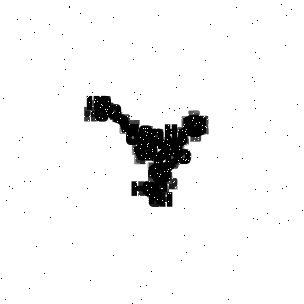 NCCCCC(NC(CCc1ccccc1)C(=O)OCCCCON(O)O)C(=O)N1CCCC1C(=O)OCCCCON(O)O